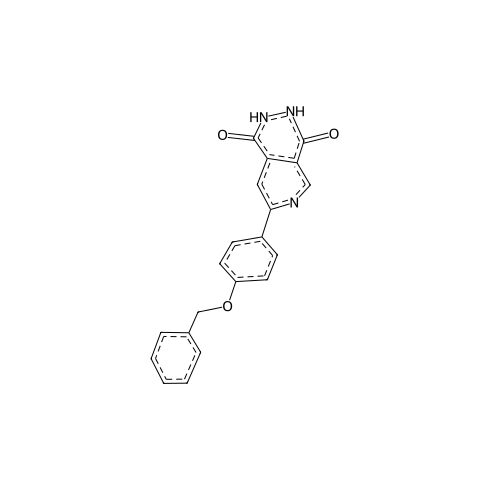 O=c1[nH][nH]c(=O)c2cc(-c3ccc(OCc4ccccc4)cc3)ncc12